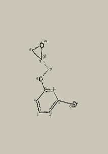 Brc1cc[c]c(OC[C@@H]2CO2)c1